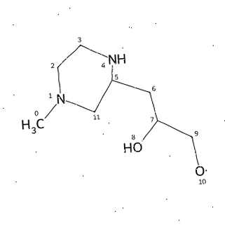 CN1CCNC(CC(O)C[O])C1